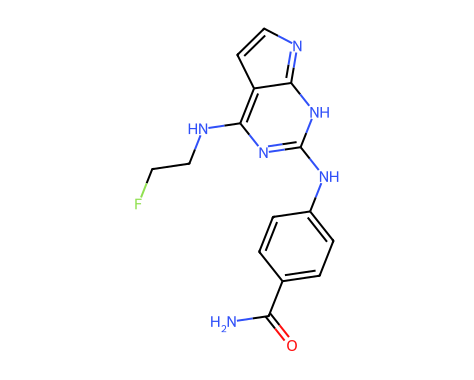 NC(=O)c1ccc(Nc2nc(NCCF)c3ccnc-3[nH]2)cc1